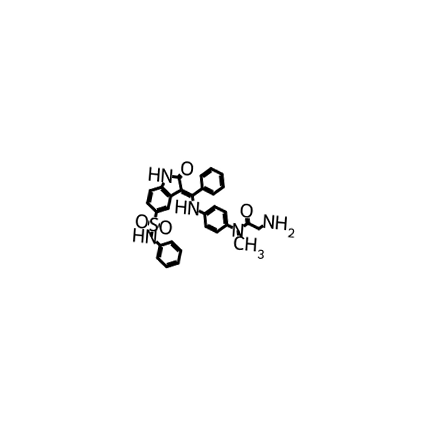 CN(C(=O)CN)c1ccc(NC(=C2C(=O)Nc3ccc(S(=O)(=O)Nc4ccccc4)cc32)c2ccccc2)cc1